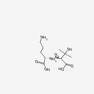 CC(C)(S)[C@H](N)C(=O)O.NCCC[C@H](N)C(=O)O